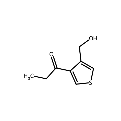 CCC(=O)c1cscc1CO